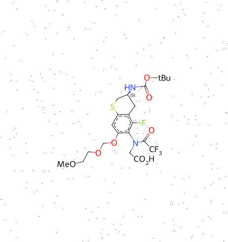 COCCOCOc1cc2c(c(F)c1N(CC(=O)O)C(=O)C(F)(F)F)C[C@H](NC(=O)OC(C)(C)C)CS2